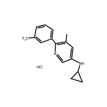 Cc1cc(NC2CC2)cnc1-c1cccc(C(F)(F)F)c1.Cl